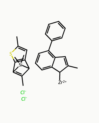 CC1=C2c3sc(C)cc3C1[Si]2(C)C.CC1=Cc2c(-c3ccccc3)cccc2[CH]1[Zr+2].[Cl-].[Cl-]